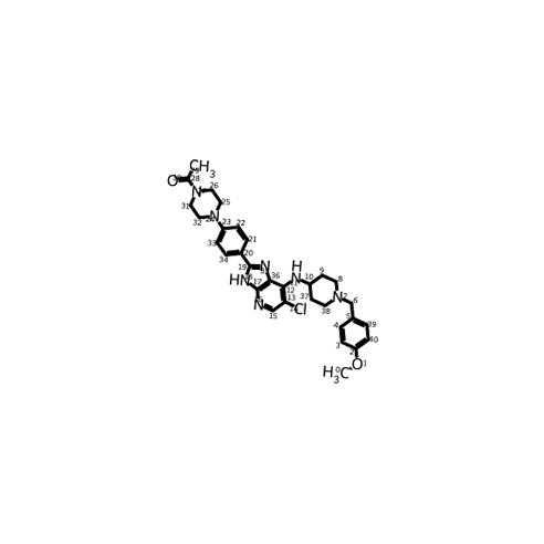 COc1ccc(CN2CCC(Nc3c(Cl)cnc4[nH]c(-c5ccc(N6CCN(C(C)=O)CC6)cc5)nc34)CC2)cc1